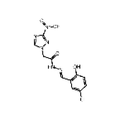 O=C(Cn1cnc([N+](=O)O)n1)N/N=C/c1cc(Cl)ccc1O